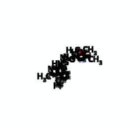 C\C=C(/C=C\C(COc1nnc(NC(=O)c2cnc(C)cc2-c2c(F)cccc2OC(F)F)s1)=C(\C)CC)C(C)O